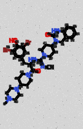 CN1CCN(C2CCN(C(=O)[C@@H](Cc3cc(Br)c(O)c(Br)c3)NC(=NC#N)N3CCC(N4Cc5ccccc5NC4=O)CC3)CC2)CC1